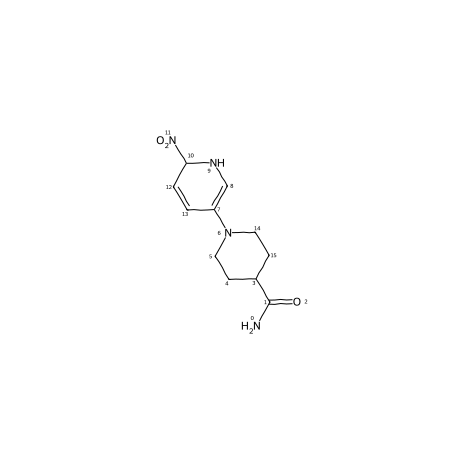 NC(=O)C1CCN(C2=CNC([N+](=O)[O-])C=C2)CC1